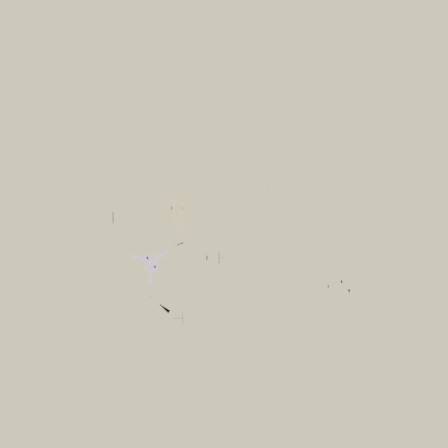 N#Cc1ccc2c(c1)Sc1ccccc1C2=C1C[C@@H]2CC[C@@H](C1)N2C(=O)C(F)(F)F